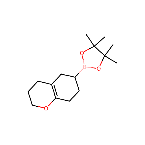 CC1(C)OB(C2CCC3=C(CCCO3)C2)OC1(C)C